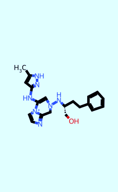 Cc1cc(NC2=CN(N[C@@H](CO)CCc3ccccc3)CC3=NC=C[N+]23)n[nH]1